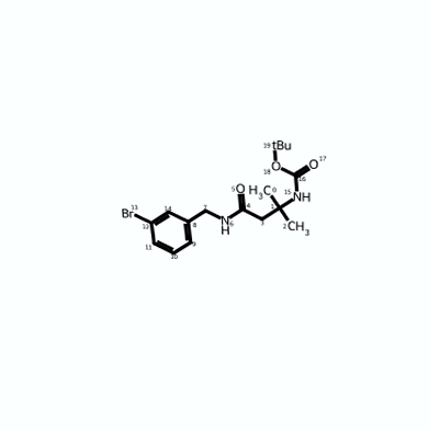 CC(C)(CC(=O)NCc1cccc(Br)c1)NC(=O)OC(C)(C)C